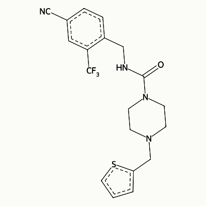 N#Cc1ccc(CNC(=O)N2CCN(Cc3cccs3)CC2)c(C(F)(F)F)c1